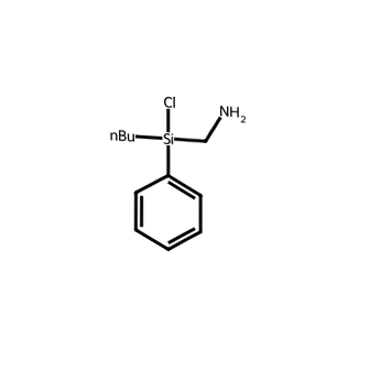 CCCC[Si](Cl)(CN)c1ccccc1